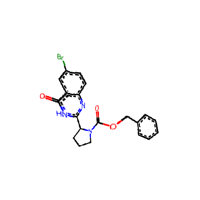 O=C(OCc1ccccc1)N1CCCC1c1nc2ccc(Br)cc2c(=O)[nH]1